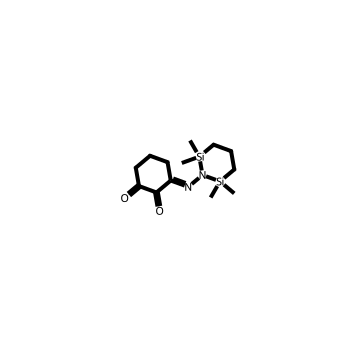 C[Si]1(C)CCC[Si](C)(C)N1N=C1CCCC(=O)C1=O